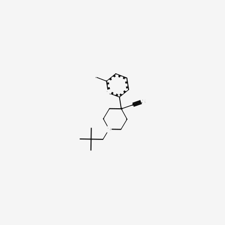 CC(C)(C)CN1CCC(C#N)(c2cccc(Cl)n2)CC1